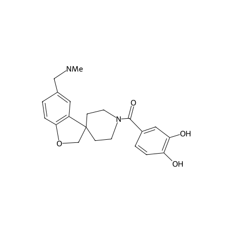 CNCc1ccc2c(c1)C1(CCN(C(=O)c3ccc(O)c(O)c3)CC1)CO2